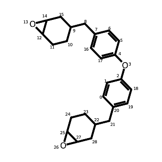 c1cc(Oc2ccc(CC3CCC4OC4C3)cc2)ccc1CC1CCC2OC2C1